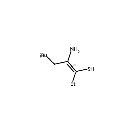 CC/C(S)=C(/N)CC(C)CC